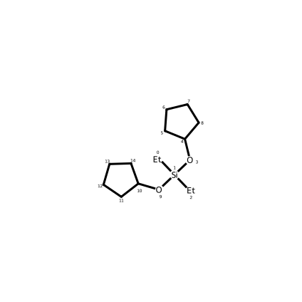 CC[Si](CC)(OC1CCCC1)OC1CCCC1